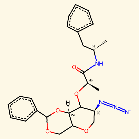 C[C@@H](Cc1ccccc1)NC(=O)[C@@H](C)OC1[C@@H]2OC(c3ccccc3)OCC2OC[C@@H]1N=[N+]=[N-]